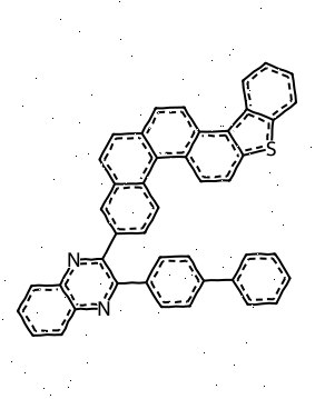 c1ccc(-c2ccc(-c3nc4ccccc4nc3-c3ccc4c(ccc5ccc6c(ccc7sc8ccccc8c76)c54)c3)cc2)cc1